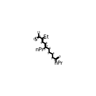 C=C(CCC)CCCC/C(=C/C=C(\CC)C(C)=S)CCC